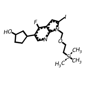 C[Si](C)(C)CCOCn1c(I)cc2c(F)c(C3CCC(O)C3)cnc21